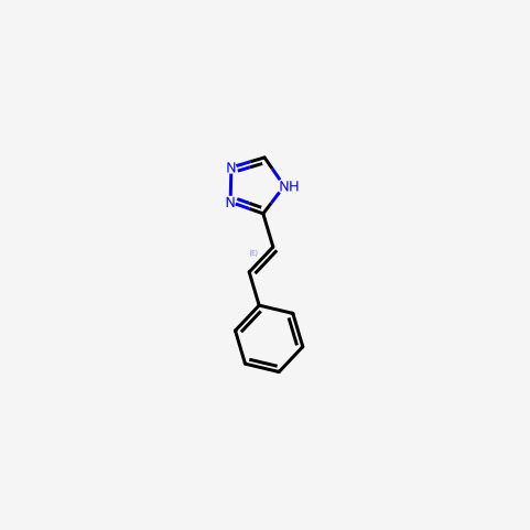 C(=C\c1nnc[nH]1)/c1ccccc1